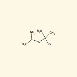 BC(C)(SC(C)N)C(C)C